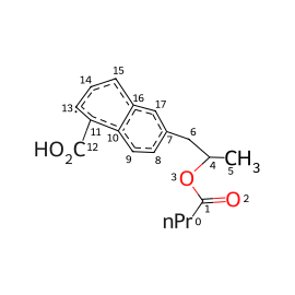 CCCC(=O)OC(C)Cc1ccc2c(C(=O)O)[c]ccc2c1